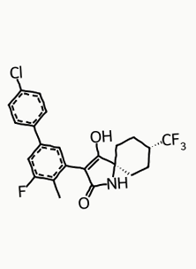 Cc1c(F)cc(-c2ccc(Cl)cc2)cc1C1=C(O)[C@]2(CC[C@@H](C(F)(F)F)CC2)NC1=O